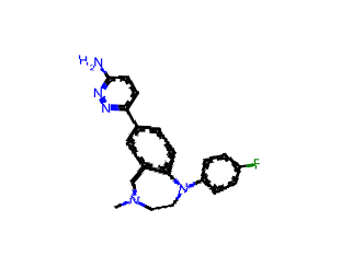 CN1CCN(c2ccc(F)cc2)c2ccc(-c3ccc(N)nn3)cc2C1